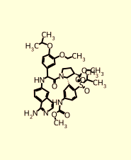 CCOc1cc(C(Nc2ccc3c(N)nccc3c2)C(=O)N2CC[C@@H](C(=O)OC)[C@@H]2c2cc(NC(=O)OC)ccc2S(=O)(=O)C(C)C)ccc1OC(C)C